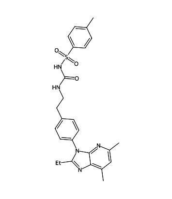 CCc1nc2c(C)cc(C)nc2n1-c1ccc(CCNC(=O)NS(=O)(=O)c2ccc(C)cc2)cc1